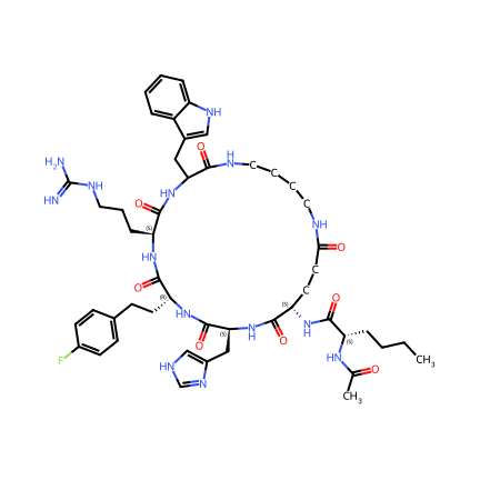 CCCC[C@H](NC(C)=O)C(=O)N[C@H]1CCC(=O)NCCCCNC(=O)C(Cc2c[nH]c3ccccc23)NC(=O)[C@H](CCCNC(=N)N)NC(=O)[C@@H](CCc2ccc(F)cc2)NC(=O)[C@H](Cc2c[nH]cn2)NC1=O